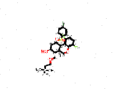 C[Si](C)(C)CCOC[C@@H]1[C@@H](O)CC[C@@]2(S(=O)(=O)c3ccc(Cl)cc3)c3c(F)ccc(F)c3OC[C@@H]12